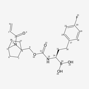 C=CC(=O)N1C2CCC1(COC(=O)N[C@@H](CCc1ccc(F)cc1)B(O)O)CC2